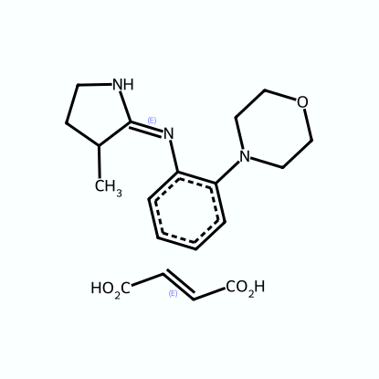 CC1CCN/C1=N/c1ccccc1N1CCOCC1.O=C(O)/C=C/C(=O)O